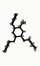 [N-]=[N+]=NCC1C[C@@H](N=[N+]=[N-])C(O)C[C@H]1CN=[N+]=[N-]